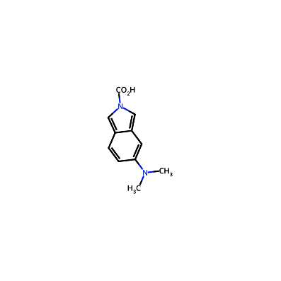 CN(C)c1ccc2cn(C(=O)O)cc2c1